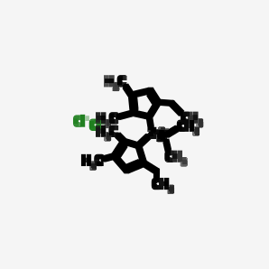 CCC1=CC(C)=C(C)[CH]1[Zr+2]([CH]1C(CC)=CC(C)=C1C)=[Si](C)C.[Cl-].[Cl-]